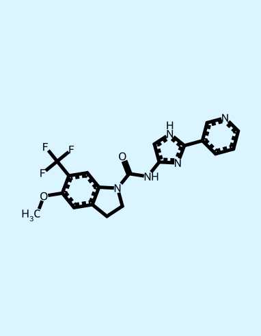 COc1cc2c(cc1C(F)(F)F)N(C(=O)Nc1c[nH]c(-c3cccnc3)n1)CC2